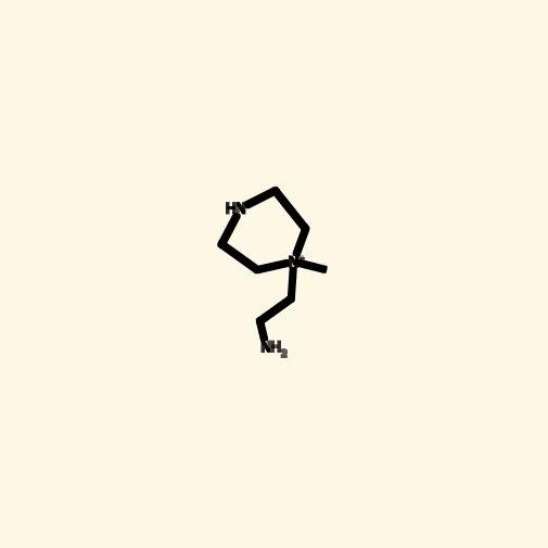 C[N+]1(CCN)CCNCC1